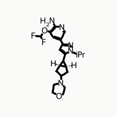 CC(C)n1nc(-c2cnc(N)c(OC(F)F)c2)cc1C1[C@H]2CC(N3CCOCC3)C[C@@H]12